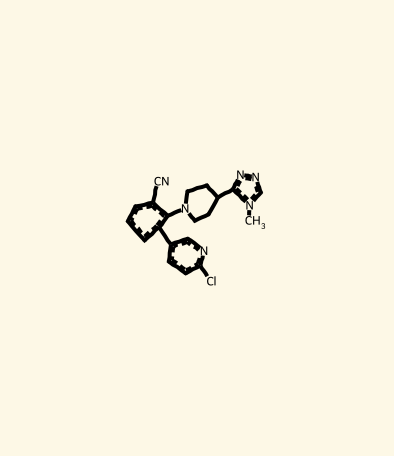 Cn1cnnc1C1CCN(c2c(C#N)cccc2-c2ccc(Cl)nc2)CC1